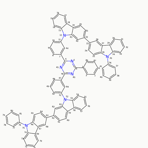 c1ccc(-c2nc(-c3cccc(-n4c5ccccc5c5ccc(-c6ccc7c(c6)c6ccccc6n7-c6ccccc6)cc54)c3)nc(-c3cccc(-n4c5ccccc5c5ccc(-c6ccc7c(c6)c6ccccc6n7-c6ccccc6)cc54)c3)n2)cc1